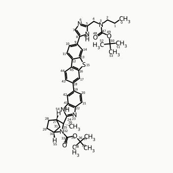 CCCN(Cc1ncc(-c2ccc3c(c2)sc2cc(-c4ccc5nc([C@]6(C)[C@H]7CC[C@H](C7)N6C(=O)OC(C)(C)C)[nH]c5c4)ccc23)[nH]1)C(=O)OC(C)(C)C